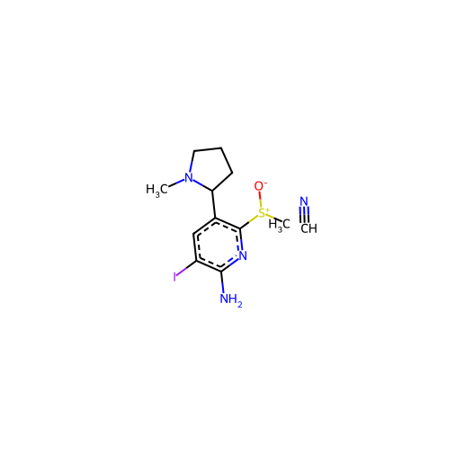 C#N.CN1CCCC1c1cc(I)c(N)nc1[S+](C)[O-]